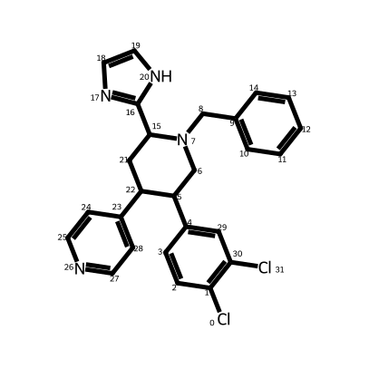 Clc1ccc(C2CN(Cc3ccccc3)C(c3ncc[nH]3)CC2c2ccncc2)cc1Cl